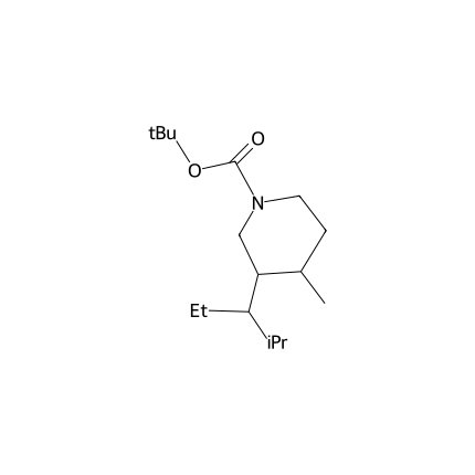 CCC(C(C)C)C1CN(C(=O)OC(C)(C)C)CCC1C